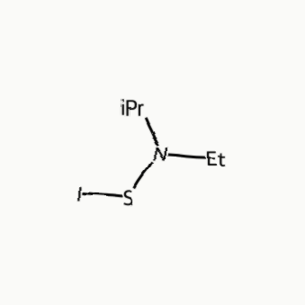 CCN(SI)C(C)C